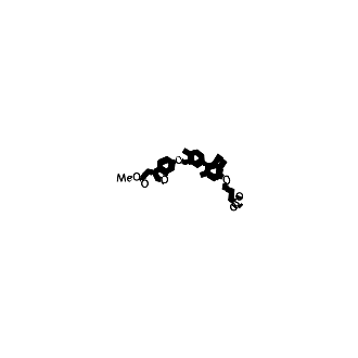 COC(=O)CC1COc2cc(OCc3cc(-c4c(C)cc(OCCCS(C)(=O)=O)c5c4CC5)ccc3C)ccc21